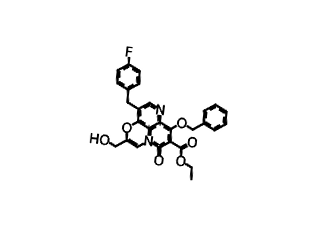 CCOC(=O)c1c(OCc2ccccc2)c2ncc(Cc3ccc(F)cc3)c3c2n(c1=O)C=C(CO)O3